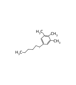 CCCCC[CH]c1cc(C)c(C)c(C)c1